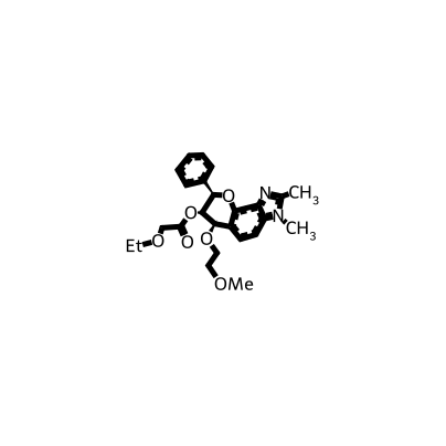 CCOCC(=O)O[C@@H]1[C@@H](c2ccccc2)Oc2c(ccc3c2nc(C)n3C)[C@H]1OCCOC